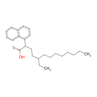 CCCCCCCCC(CC)CCC(C(O)=S)c1cccc2ccccc12